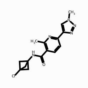 Cc1nc(-c2cn(C)nn2)ccc1C(=O)NC12CC(Cl)(C1)C2